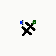 CC(C)(C)[Si](C)(C)Cl.[N]